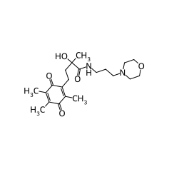 CC1=C(C)C(=O)C(CCC(C)(O)C(=O)NCCCN2CCOCC2)=C(C)C1=O